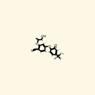 CC(CO)Oc1cc(Oc2ccc(C(F)(F)F)cc2Cl)ccc1C#N